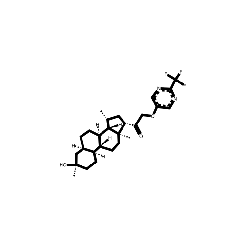 C[C@@H]1C[C@H](C(=O)COc2cnc(C(F)(F)F)nc2)[C@@]2(C)CC[C@H]3[C@@H](CC[C@@H]4C[C@](C)(O)CC[C@@H]43)[C@H]12